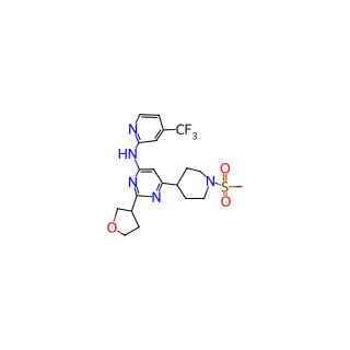 CS(=O)(=O)N1CCC(c2cc(Nc3cc(C(F)(F)F)ccn3)nc(C3CCOC3)n2)CC1